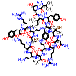 CC[C@H](C)[C@H](NC(=O)[C@@H]1C[C@@H](O)CN1C(=O)[C@@H](N)C(C)C)C(=O)N[C@@H](Cc1ccc(O)cc1)C(=O)N[C@@H](Cc1ccc(O)cc1)C(=O)N[C@H](C(=O)N[C@@H](CC(N)=O)C(=O)N[C@@H](CCCNC(=N)N)C(=O)N[C@@H](CCN)C(=O)N[C@H](C(=O)N[C@H](CCN)C(=O)N[C@@H](CCCCN)C(=O)N[C@@H](CS)C(=O)N[C@@H](CCN)C(=O)N[C@@H](CCCNC(=N)N)C(=O)N[C@@H](Cc1ccc(O)cc1)C(=O)O)[C@@H](C)O)C(C)(C)S